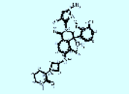 Cn1cc(F)c(N2CC(C)(c3cccc(Cl)c3F)c3c(ccc(NC4CN([C@@H]5CCCNC5=O)C4)c3F)C2=O)n1